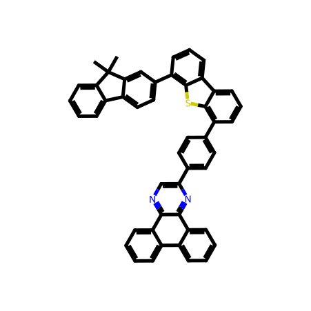 CC1(C)c2ccccc2-c2ccc(-c3cccc4c3sc3c(-c5ccc(-c6cnc7c8ccccc8c8ccccc8c7n6)cc5)cccc34)cc21